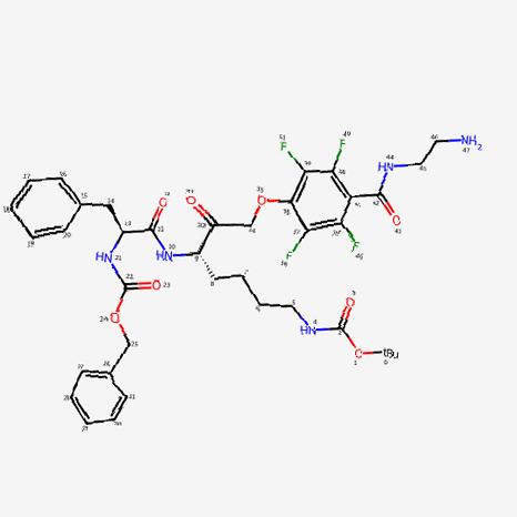 CC(C)(C)OC(=O)NCCCC[C@H](NC(=O)[C@H](Cc1ccccc1)NC(=O)OCc1ccccc1)C(=O)COc1c(F)c(F)c(C(=O)NCCN)c(F)c1F